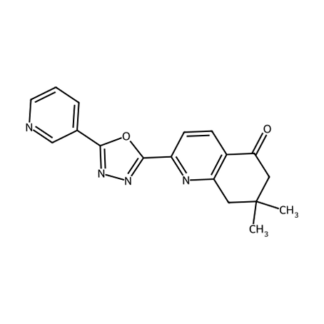 CC1(C)CC(=O)c2ccc(-c3nnc(-c4cccnc4)o3)nc2C1